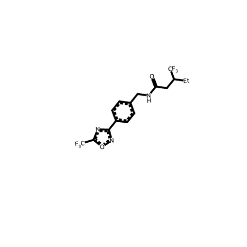 CCC(CC(=O)NCc1ccc(-c2noc(C(F)(F)F)n2)cc1)C(F)(F)F